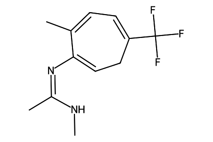 CN/C(C)=N\C1=CCC(C(F)(F)F)=CC=C1C